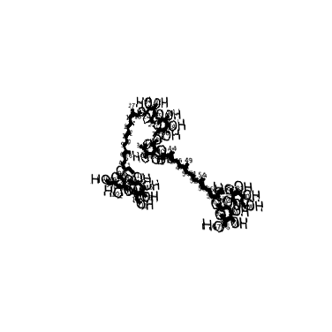 C=C[C@](C)(CC/C=C(\C)CC/C=C/CC/C=C(/C)COC1OC(C)C(OC2OC(COC3OC(C)C(O)C(O)C3OC(=O)/C(C)=C/CC/C(C)=C/CC/C(C)=C/CC[C@@](C)(C=C)OC3OC(CO)C(O)C(O)C3OC3OC(CO)C(O)C(O)C3O)C(O)C(O)C2O)C(O)C1O)OC1OC(CO)C(O)C(O)C1OC1OC(CO)C(O)C(O)C1O